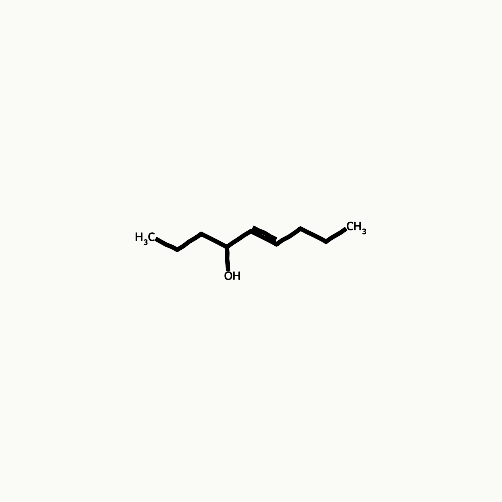 CCCC=CC(O)CCC